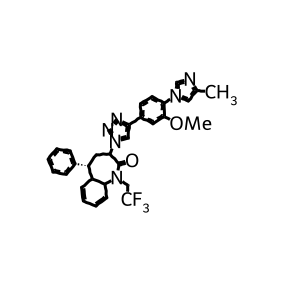 COc1cc(-c2cn(C3C[C@@H](c4ccccc4)C4C=CC=CC4N(CC(F)(F)F)C3=O)nn2)ccc1-n1cnc(C)c1